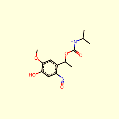 COc1cc(C(C)OC(=O)NC(C)C)c(N=O)cc1O